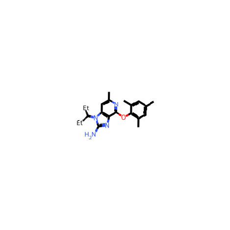 CCC(CC)n1c(N)nc2c(Oc3c(C)cc(C)cc3C)nc(C)cc21